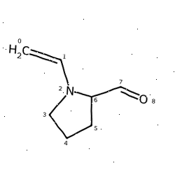 C=CN1CCCC1C=O